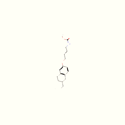 CCOC(=O)CC1CCc2cc(OCCCCNC(=O)OC(C)(C)C)ccc2C1